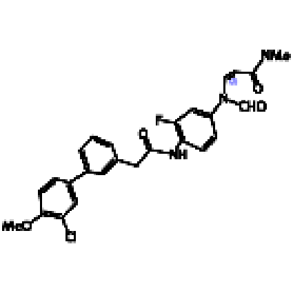 CNC(=O)/C=C\N(C=O)c1ccc(NC(=O)Cc2cccc(-c3ccc(OC)c(Cl)c3)c2)c(F)c1